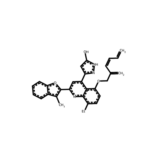 C=C/C=C\C(=C)COc1ccc(CC)c2nc(-c3oc4ccccc4c3C)cc(-c3cc(O)[nH]n3)c12